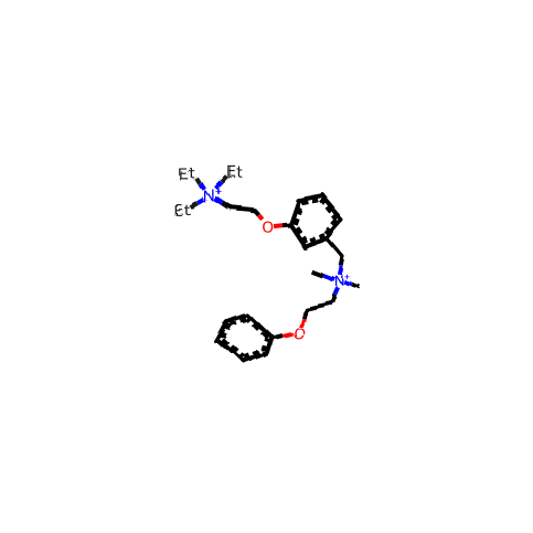 CC[N+](CC)(CC)CCOc1cccc(C[N+](C)(C)CCOc2ccccc2)c1